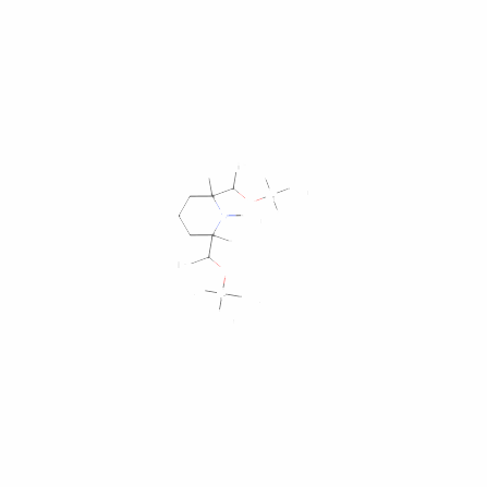 CCC1(C(O[Si](C)(C)C)C(C)C)CCCC(CC)(C(O[Si](C)(C)C)C(C)C)N1C